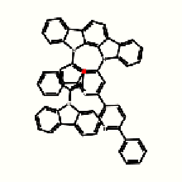 c1ccc(-c2ccc(-c3cc(-n4c5ccccc5c5ccc6c7ccccc7n(-c7ccc(-n8c9ccccc9c9ccccc98)cc7)c6c54)cc(-c4ccccc4)n3)cn2)cc1